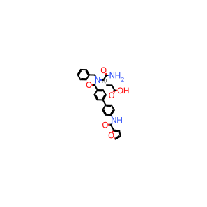 NC(=O)[C@H](CCC(=O)O)N(Cc1ccccc1)C(=O)c1ccc(-c2ccc(NC(=O)c3ccco3)cc2)cc1